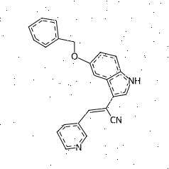 N#CC(=Cc1cccnc1)c1c[nH]c2ccc(OCc3ccccc3)cc12